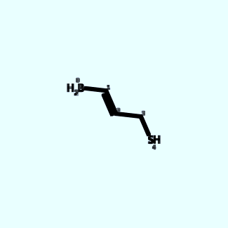 B/C=C/CS